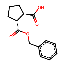 O=C(O)[C@@H]1CCC[C@H]1C(=O)OCc1ccccc1